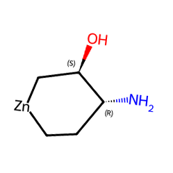 N[C@@H]1C[CH2][Zn][CH2][C@H]1O